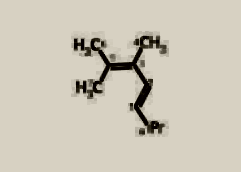 [CH2]C(C)C=CC(C)=C(C)C